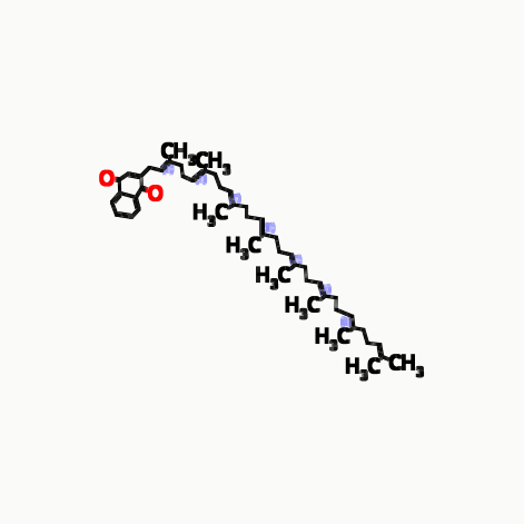 CC(C)=CCC/C(C)=C/CC/C(C)=C/CC/C(C)=C/CC/C(C)=C/CC/C(C)=C/CC/C(C)=C/CC/C(C)=C/CC1=CC(=O)c2ccccc2C1=O